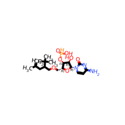 C=C(C)CC(COC[C@H]1O[C@@H](n2ccc(N)nc2=O)[C@H](O)[C@@H]1O[PH](=O)O)C(C)(C)C